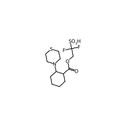 O=C(OCC(F)(F)S(=O)(=O)O)C1CCCCC1N1CCSCC1